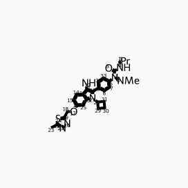 CNN(C(=O)NC(C)C)c1ccc(-c2c(N)c3ccc(OCc4nnc(C)s4)cc3n2C2CCC2)cc1